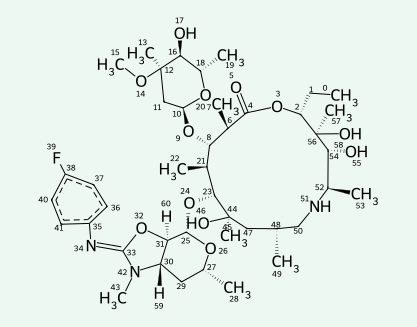 CC[C@H]1OC(=O)[C@H](C)[C@@H](O[C@H]2C[C@@](C)(OC)[C@@H](O)[C@H](C)O2)[C@H](C)[C@@H](O[C@@H]2O[C@H](C)C[C@H]3[C@H]2O/C(=N\c2ccc(F)cc2)N3C)[C@](C)(O)C[C@@H](C)CN[C@H](C)[C@@H](O)[C@]1(C)O